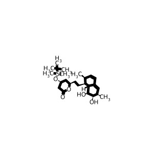 C[C@H]1C=C2C=C[C@H](C)[C@H](CC[C@@H]3C[C@@H](O[Si](C)(C)C(C)(C)C)CC(=O)O3)[C@H]2[C@@H](O)[C@H]1O